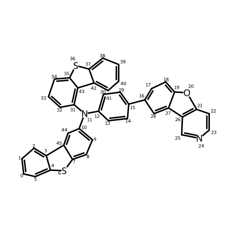 c1ccc2c(c1)sc1ccc(N(c3ccc(-c4ccc5oc6ccncc6c5c4)cc3)c3cccc4sc5ccccc5c34)cc12